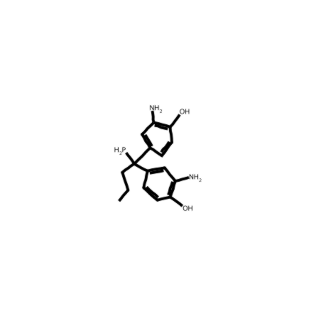 CCCC(P)(c1ccc(O)c(N)c1)c1ccc(O)c(N)c1